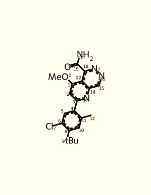 COc1cc(-c2cc(Cl)c(C(C)(C)C)cc2C)nc2cnnc(C(N)=O)c12